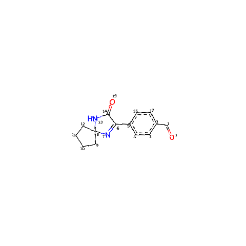 O=Cc1ccc(C2=NC3(CCCC3)NC2=O)cc1